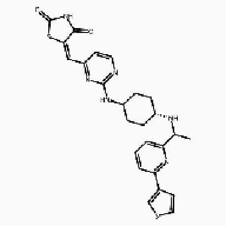 CC(N[C@H]1CC[C@H](Nc2nccc(C=C3SC(=O)NC3=O)n2)CC1)c1cccc(-c2ccsc2)n1